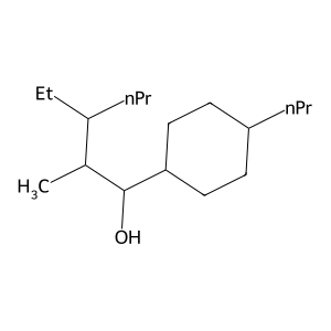 CCCC1CCC(C(O)C(C)C(CC)CCC)CC1